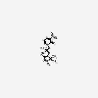 CC(O)(CN(C(=O)O)C(C)(C)C)Cn1cccc([N+](=O)[O-])c1=O